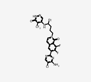 CCC(CCCn1ccc2cc(-c3ncc(Cl)c(N)n3)c(F)c(F)c2c1=O)Nc1cn[nH]c(=O)c1C(F)(F)F